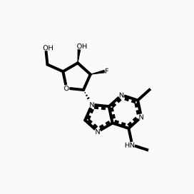 CNc1nc(C)nc2c1ncn2[C@@H]1OC(CO)[C@@H](O)[C@H]1F